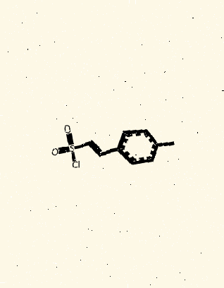 Cc1ccc(C=CS(=O)(=O)Cl)cc1